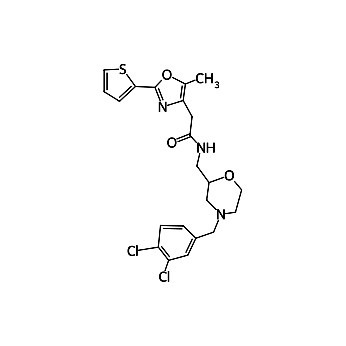 Cc1oc(-c2cccs2)nc1CC(=O)NCC1CN(Cc2ccc(Cl)c(Cl)c2)CCO1